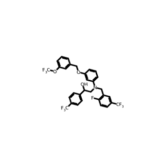 OC(CN(Cc1cc(C(F)(F)F)ccc1F)c1cccc(OCc2cccc(OC(F)(F)F)c2)c1)c1ccc(C(F)(F)F)cc1